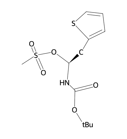 CC(C)(C)OC(=O)N[C@H](Cc1cccs1)OS(C)(=O)=O